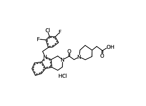 Cl.O=C(O)CC1CCN(CC(=O)N2CCc3c(n(Cc4ccc(F)c(Cl)c4F)c4ccccc34)C2)CC1